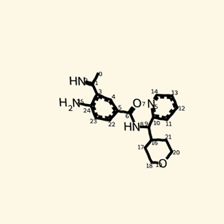 CC(=N)c1cc(C(=O)NC(c2ccccn2)C2CCOCC2)ccc1N